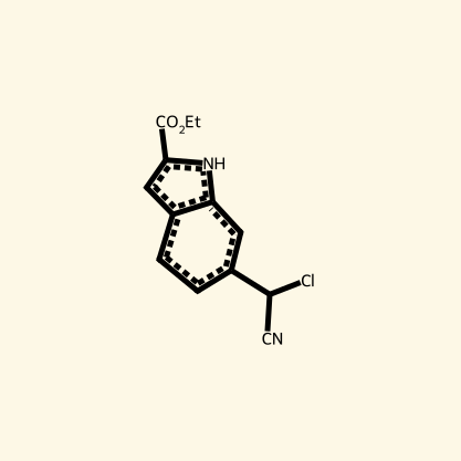 CCOC(=O)c1cc2ccc(C(Cl)C#N)cc2[nH]1